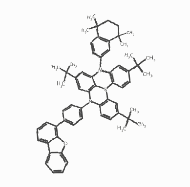 CC(C)(C)c1ccc2c(c1)B1c3ccc(C(C)(C)C)cc3N(c3ccc4c(c3)C(C)(C)CCC4(C)C)c3cc(C(C)(C)C)cc(c31)N2c1ccc(-c2cccc3c2oc2ccccc23)cc1